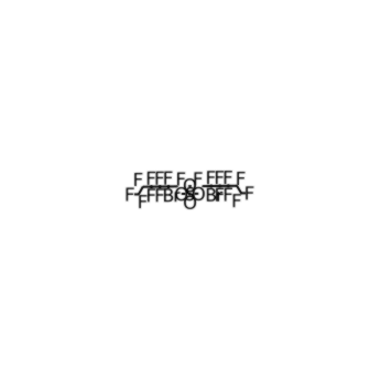 O=S(=O)(OC(F)C(F)(Br)C(F)(F)C(F)(F)C(F)C(F)F)OC(F)C(F)(Br)C(F)(F)C(F)(F)C(F)C(F)F